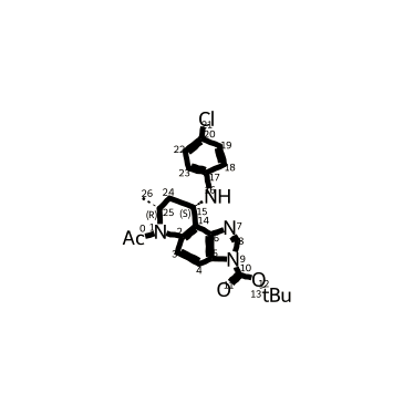 CC(=O)N1c2ccc3c(ncn3C(=O)OC(C)(C)C)c2[C@@H](Nc2ccc(Cl)cc2)C[C@H]1C